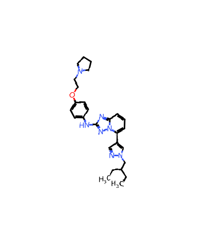 CCC(CC)Cn1cc(-c2cccc3nc(Nc4ccc(OCCN5CCCC5)cc4)nn23)cn1